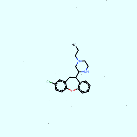 N#CCCN1CCNC(C2Cc3cc(Cl)ccc3Oc3ccccc32)C1